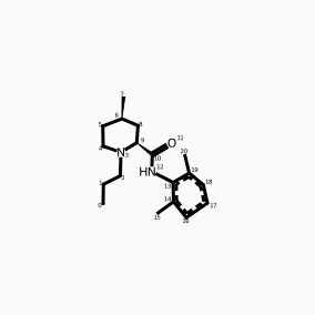 CCCN1CC[C@@H](C)C[C@H]1C(=O)Nc1c(C)cccc1C